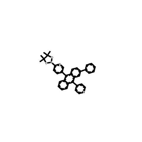 CC1(C)OB(c2ccc(-c3c4ccccc4c(-c4ccncc4)c4cc(-c5ccccc5)ccc34)cn2)OC1(C)C